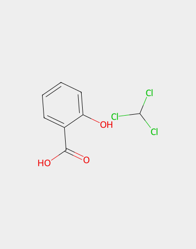 ClC(Cl)Cl.O=C(O)c1ccccc1O